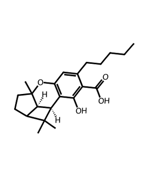 CCCCCc1cc2c(c(O)c1C(=O)O)[C@@H]1[C@H]3C(CCC3(C)O2)C1(C)C